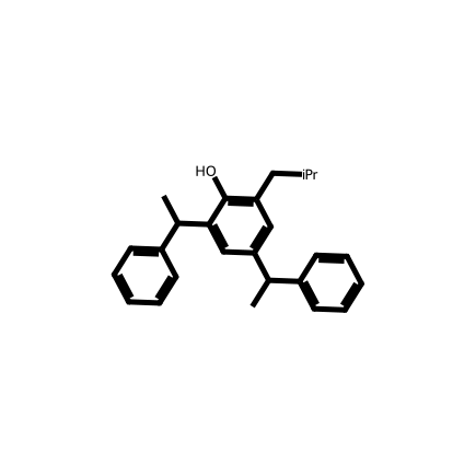 CC(C)Cc1cc(C(C)c2ccccc2)cc(C(C)c2ccccc2)c1O